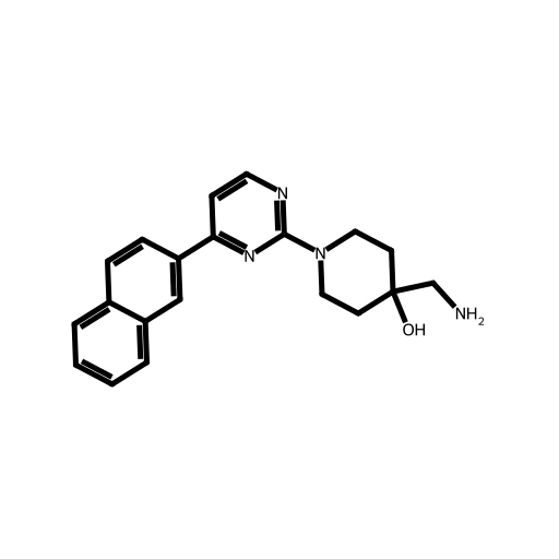 NCC1(O)CCN(c2nccc(-c3ccc4ccccc4c3)n2)CC1